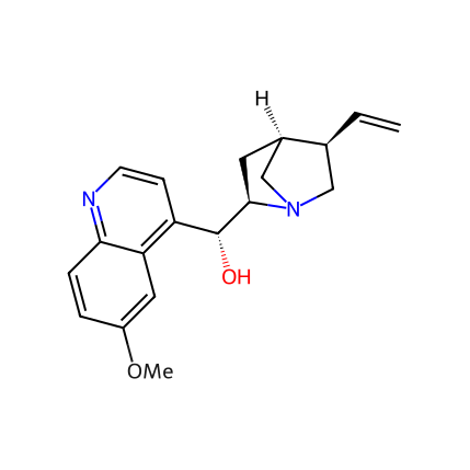 C=C[C@H]1CN2C[C@H]1C[C@@H]2[C@H](O)c1ccnc2ccc(OC)cc12